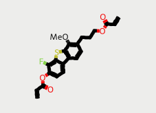 C=CC(=O)OCCCc1ccc2c(sc3c(F)c(OC(=O)C=C)ccc32)c1OC